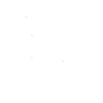 NC(=O)C1(C(=O)NC(=O)[C@@H]2CCCN2)CCC=C1C(=O)NCc1ccccc1